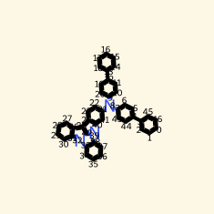 c1ccc(-c2ccc(N(c3ccc(-c4ccccc4)cc3)c3ccc4c5c6ccccc6n6c7ccccc7n(c4c3)c56)cc2)cc1